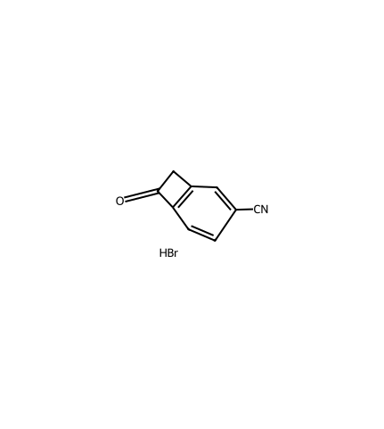 Br.N#Cc1ccc2c(c1)CC2=O